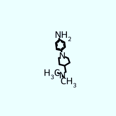 CN(C)CC1CCN(c2ccc(N)cc2)CC1